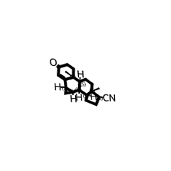 C[C@]12CC[C@H]3[C@@H]([C@@H]4C[C@@H]4C4=CC(=O)CC[C@@]43C)[C@@H]1CC[C@@H]2C#N